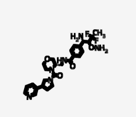 CC(F)(F)C(ON)[C@@H](N)c1ccc(C(=O)NC[C@H]2COCCN2C(=O)N2CCC(c3cccnc3)C2)cc1